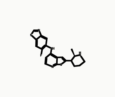 C[C@H]1NCCCC1c1cc2c(Nc3cc4ncsc4cc3F)ccnc2s1